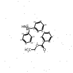 CCOC(=O)c1ccccc1.[NaH].c1ccc(Pc2ccccc2)cc1